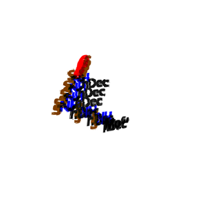 CCCCCCCCCCC(C)CNC(=S)[S-].CCCCCCCCCCC(C)CNC(=S)[S-].CCCCCCCCCCC(C)CNC(=S)[S-].CCCCCCCCCCC(C)CNC(=S)[S-].CCCCCCCCCCC(C)CNC(=S)[S-].CCCCCCCCCCC(C)CNC(=S)[S-].O=S.O=S.O=S.O=S.O=S.O=S.[Mo+6]